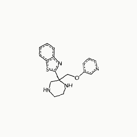 c1cncc(OCC2(c3nc4ccccc4s3)CNCCN2)c1